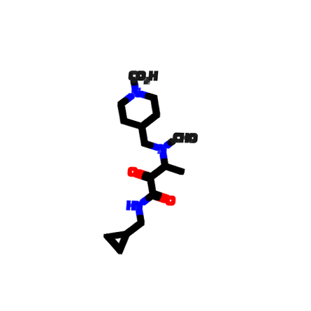 CC(C(=O)C(=O)NCC1CC1)N(C=O)CC1CCN(C(=O)O)CC1